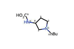 CCCCN1CCC(NC(=O)O)C1